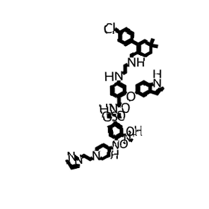 CC1(C)CCC(CNCCNc2ccc(C(=O)NS(=O)(=O)c3ccc(NC4CCN(CCn5cccn5)CC4)c([N+](C)([O-])O)c3)c(Oc3ccc4[nH]ccc4c3)c2)=C(c2ccc(Cl)cc2)C1